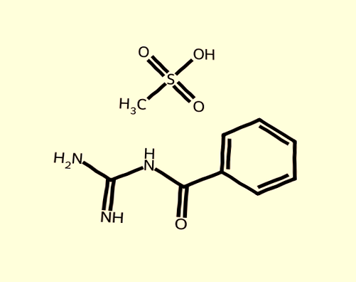 CS(=O)(=O)O.N=C(N)NC(=O)c1ccccc1